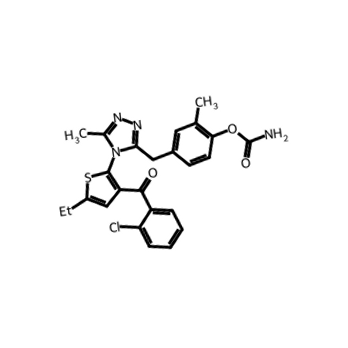 CCc1cc(C(=O)c2ccccc2Cl)c(-n2c(C)nnc2Cc2ccc(OC(N)=O)c(C)c2)s1